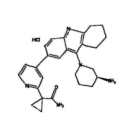 Cl.NC(=O)C1(c2cc(-c3ccc4nc5c(c(N6CCC[C@H](N)C6)c4c3)CCCC5)ccn2)CC1